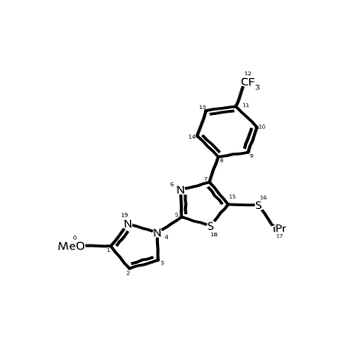 COc1ccn(-c2nc(-c3ccc(C(F)(F)F)cc3)c(SC(C)C)s2)n1